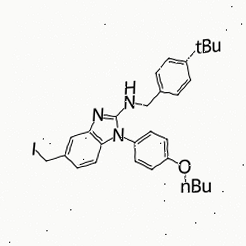 CCCCOc1ccc(-n2c(NCc3ccc(C(C)(C)C)cc3)nc3cc(CI)ccc32)cc1